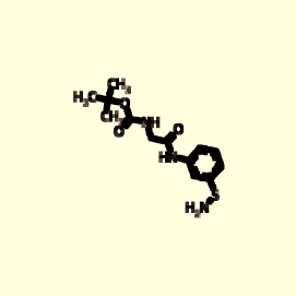 CC(C)(C)OC(=O)NCC(=O)Nc1cccc(SN)c1